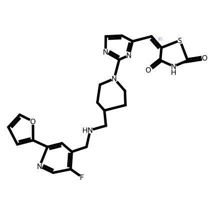 O=C1NC(=O)/C(=C\c2ccnc(N3CCC(CNCc4cc(-c5ccco5)ncc4F)CC3)n2)S1